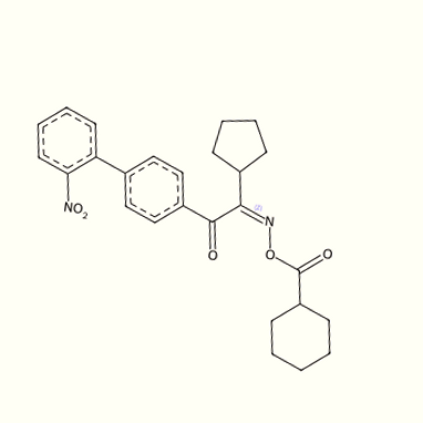 O=C(/C(=N\OC(=O)C1CCCCC1)C1CCCC1)c1ccc(-c2ccccc2[N+](=O)[O-])cc1